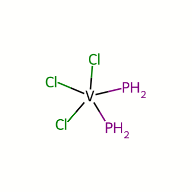 [PH2][V]([PH2])([Cl])([Cl])[Cl]